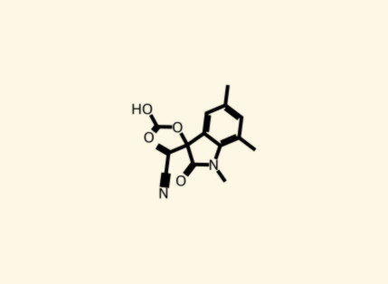 C=C(C#N)C1(OC(=O)O)C(=O)N(C)c2c(C)cc(C)cc21